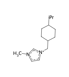 CC(C)C1CCC(C[n+]2ccn(C)c2)CC1